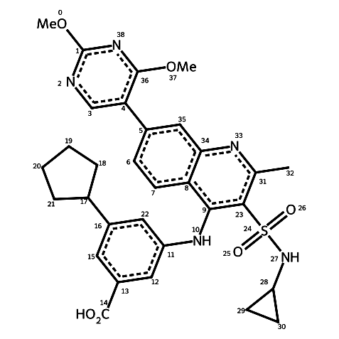 COc1ncc(-c2ccc3c(Nc4cc(C(=O)O)cc(C5CCCC5)c4)c(S(=O)(=O)NC4CC4)c(C)nc3c2)c(OC)n1